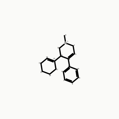 CN1CC=C(c2ccccc2)C(C2=CCCCC2)C1